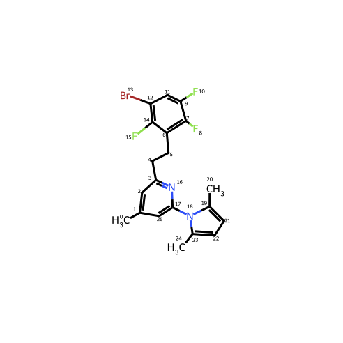 Cc1cc(CCc2c(F)c(F)cc(Br)c2F)nc(-n2c(C)ccc2C)c1